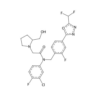 O=C(CN1CCCC1CO)N(Cc1ccc(-c2nnc(C(F)F)o2)cc1F)c1ccc(F)c(Cl)c1